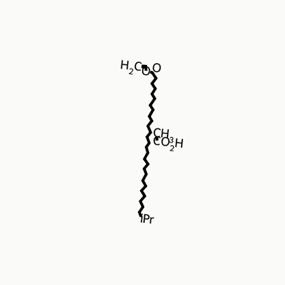 C=COC(=O)CCCCCCCCCCCCCCCCCCCCCCCCCCC(C)C.CC(=O)O